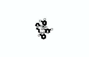 O=C(NCCCN1CCCC1=O)c1ccccc1Oc1ncc(Cl)cc1NS(=O)(=O)c1ccc(Cl)c(Cl)c1